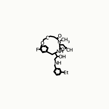 C#CCC1C(=O)NC(C(O)CNCc2cccc(CC)c2)Cc2ccc(c(F)c2)OCCCCC(=O)N1C